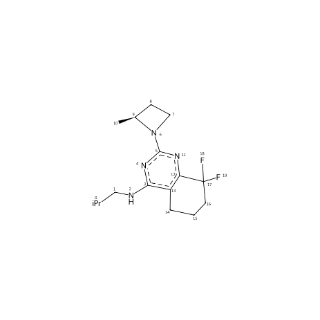 CC(C)CNc1nc(N2CC[C@@H]2C)nc2c1CCCC2(F)F